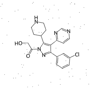 O=C(CO)n1nc(-c2cccc(Cl)c2)c(-c2ccncn2)c1C1CCNCC1